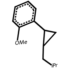 COc1ccccc1C1CC1CC(C)C